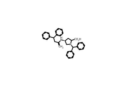 C=C(CC(c1ccccc1)c1ccccc1)N[C@H]1CC(C(=O)O)N(C(c2ccccc2)c2ccccc2)C1